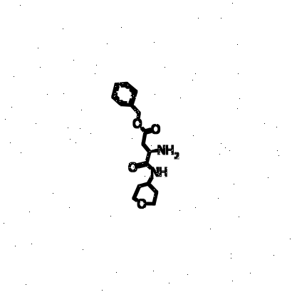 N[C@H](CC(=O)OCc1ccccc1)C(=O)NC1CCOCC1